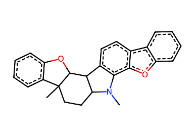 CN1c2c(ccc3c2oc2ccccc23)C2C1CCC1(C)c3ccccc3OC21